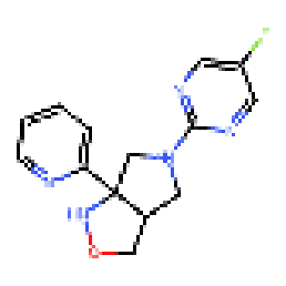 Fc1cnc(N2CC3CONC3(c3ccccn3)C2)nc1